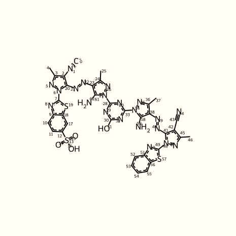 [C-]#[N+]c1c(C)nn(-c2nc3ccc(S(=O)(=O)O)cc3s2)c1N=Nc1c(C)nn(-c2nc(O)nc(-n3nc(C)c(N=Nc4c(C#N)c(C)nn4-c4nc5ccccc5s4)c3N)n2)c1N